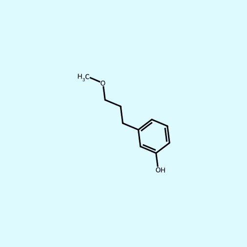 COCCCc1cccc(O)c1